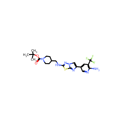 CC(C)(C)OC(=O)N1CCC(CNc2nn3cc(-c4cnc(N)c(C(F)(F)F)c4)nc3s2)CC1